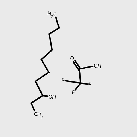 CCCCCCCC(O)CC.O=C(O)C(F)(F)F